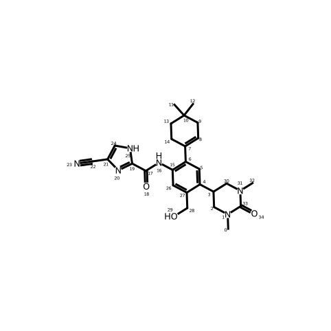 CN1CC(c2cc(C3=CCC(C)(C)CC3)c(NC(=O)c3nc(C#N)c[nH]3)cc2CO)CN(C)C1=O